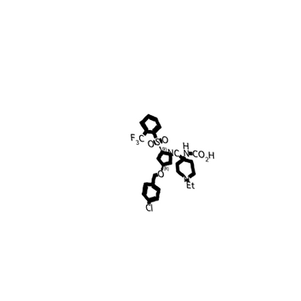 CCN1CCC(C#N)(NC(=O)O)CC1.O=S(=O)(c1ccccc1C(F)(F)F)[C@@H]1CC[C@@H](OCc2ccc(Cl)cc2)C1